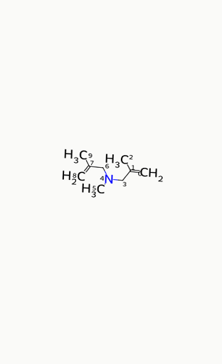 C=C(C)CN(C)CC(=C)C